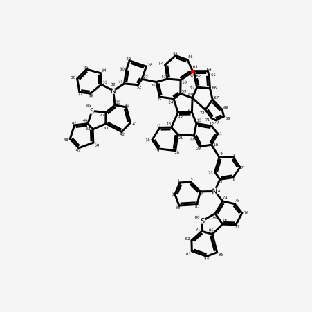 c1ccc(N(c2cccc(-c3ccc4c5c(c6ccccc6c4c3)-c3cc(-c4cccc(N(c6ccccc6)c6cccc7c6sc6ccccc67)c4)c4ccccc4c3C53c4ccccc4-c4ccccc43)c2)c2cccc3c2sc2ccccc23)cc1